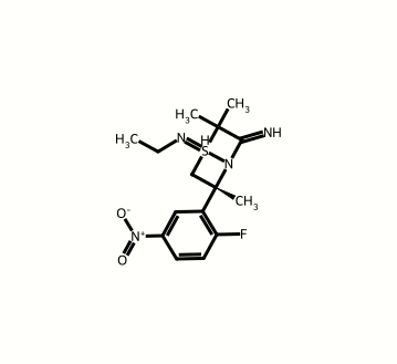 CCN=[SH]12C[C@@](C)(c3cc([N+](=O)[O-])ccc3F)N1C(=N)C2(C)C